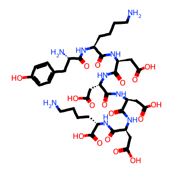 NCCCC[C@H](NC(=O)[C@H](CC(=O)O)NC(=O)[C@H](CC(=O)O)NC(=O)[C@H](CC(=O)O)NC(=O)[C@H](CC(=O)O)NC(=O)[C@H](CCCCN)NC(=O)[C@@H](N)Cc1ccc(O)cc1)C(=O)O